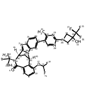 BC(B)(B)N1C(=O)c2cccc(OC(F)F)c2[C@H]2C[C@@H]1c1nc3ccc(-c4cnc(N5CC(O)(C(F)(F)F)C5)nc4C)cc3n12